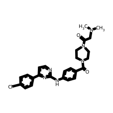 CN(C)CC(=O)N1CCN(C(=O)c2ccc(Nc3nccc(-c4ccc(Cl)cc4)n3)cc2)CC1